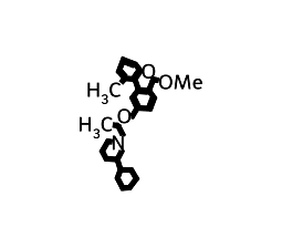 COC(=O)c1ccc(COC(C)CN2CCCC(C3CCCCC3)C2)cc1-c1ccccc1C